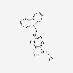 O=C(N[C@@H](CO)C(=O)OCC1CC1)OCC1c2ccccc2-c2ccccc21